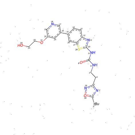 CC(C)(C)c1nc(CCNC(=O)Nc2nc3ccc(-c4cncc(OCCO)c4)cc3s2)no1